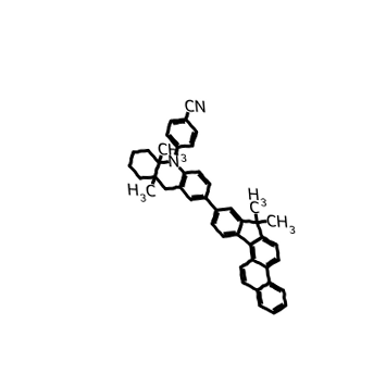 CC1(C)c2cc(-c3ccc4c(c3)CC3(C)CCCCC3(C)N4c3ccc(C#N)cc3)ccc2-c2c1ccc1c2ccc2ccccc21